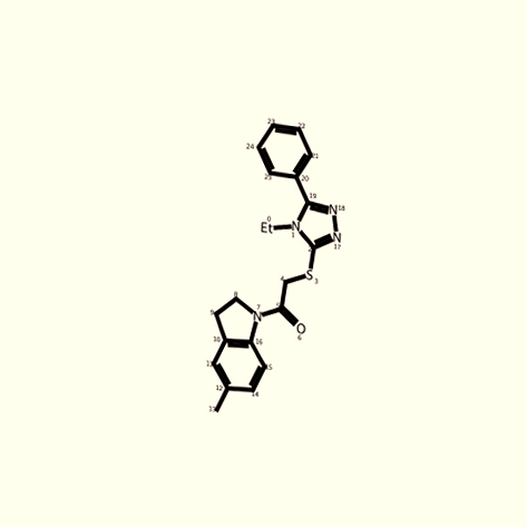 CCn1c(SCC(=O)N2CCc3cc(C)ccc32)nnc1-c1ccccc1